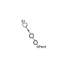 CCCCCc1ccc(-c2ccc(C#CC3=CCC(CC)CC3)cc2)cc1